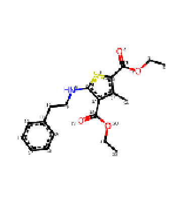 CCOC(=O)c1sc(NCCc2ccccc2)c(C(=O)OCC)c1C